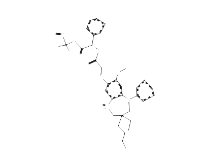 CCCCC1(CC)CN(c2ccccc2)c2cc(SC)c(OCC(=O)N[C@@H](C(=O)NC(C)(O)[PH2]=O)c3ccccc3)cc2S(=O)(=O)C1